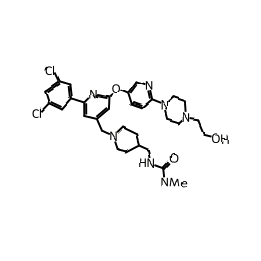 CNC(=O)NCC1CCN(Cc2cc(Oc3ccc(N4CCN(CCO)CC4)nc3)nc(-c3cc(Cl)cc(Cl)c3)c2)CC1